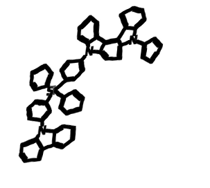 c1ccc(-n2c3ccccc3c3c4c5ccccc5n(-c5ccc([Si](c6ccccc6)(c6ccccc6)c6cccc(-n7c8ccccc8c8ccccc87)c6)cc5)c4ccc32)cc1